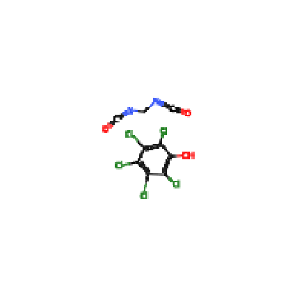 O=C=NCN=C=O.Oc1c(Cl)c(Cl)c(Cl)c(Cl)c1Cl